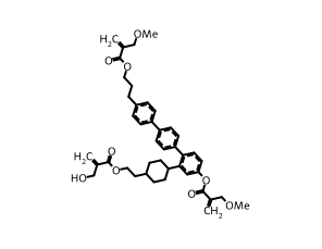 C=C(CO)C(=O)OCCC1CCC(c2cc(OC(=O)C(=C)COC)ccc2-c2ccc(-c3ccc(CCCOC(=O)C(=C)COC)cc3)cc2)CC1